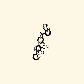 CC(c1cccnc1CC(F)(F)F)N1CCN(c2cnn(C3CCCCO3)c(=O)c2C#N)[C@H](C)C1